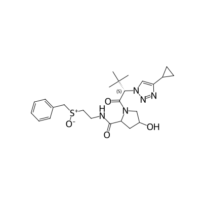 CC(C)(C)[C@@H](C(=O)N1CC(O)CC1C(=O)NCC[S+]([O-])Cc1ccccc1)n1cc(C2CC2)nn1